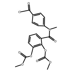 COC(=O)Oc1cccc(C(=O)N(C)c2ccc(C(=O)Cl)cc2)c1OC(=O)OC